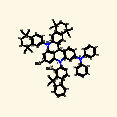 CC(C)(C)c1cc2c3c(c1)N(c1ccc4c(c1C(C)(C)C)C(C)(C)c1ccccc1-4)c1cc(N(c4ccccc4)c4ccccc4)ccc1B3c1cc3c(cc1N2c1ccc2c(c1)C(C)(C)CCC2(C)C)C(C)(C)CCC3(C)C